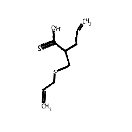 C=CCSCC(CC=C)C(O)=S